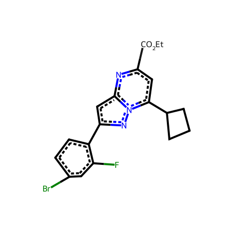 CCOC(=O)c1cc(C2CCC2)n2nc(-c3ccc(Br)cc3F)cc2n1